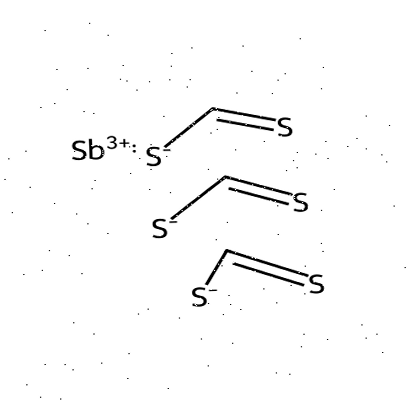 S=C[S-].S=C[S-].S=C[S-].[Sb+3]